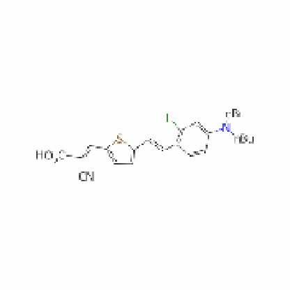 CCCCN(CCCC)c1ccc(/C=C/c2ccc(/C=C(\C#N)C(=O)O)s2)c(F)c1